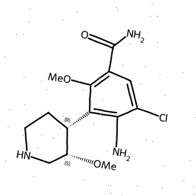 COc1c(C(N)=O)cc(Cl)c(N)c1[C@H]1CCNC[C@H]1OC